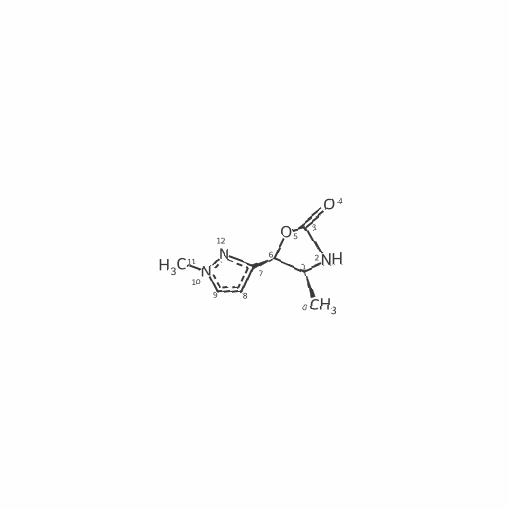 C[C@@H]1NC(=O)O[C@@H]1c1ccn(C)n1